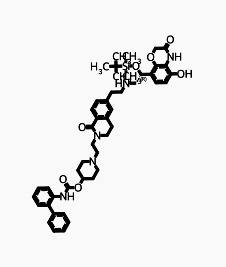 CC(C)(C)[Si](C)(C)O[C@@H](CNCCc1ccc2c(c1)CCN(CCN1CCC(OC(=O)Nc3ccccc3-c3ccccc3)CC1)C2=O)c1ccc(O)c2c1OCC(=O)N2